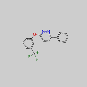 FC(F)(F)c1cccc(Oc2ccc(-c3ccccc3)nn2)c1